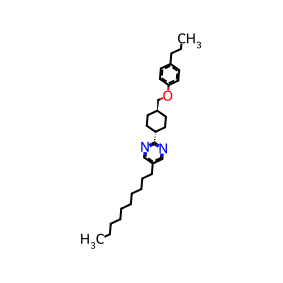 CCCCCCCCCCc1cnc([C@H]2CC[C@H](COc3ccc(CCC)cc3)CC2)nc1